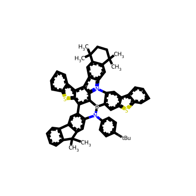 CC(C)(C)c1ccc(N2B3c4cc5sc6ccccc6c5cc4-n4c5cc6c(cc5c5c7c(sc8ccccc87)c(c3c54)-c3cc4c(cc32)C(C)(C)c2ccccc2-4)C(C)(C)CCC6(C)C)cc1